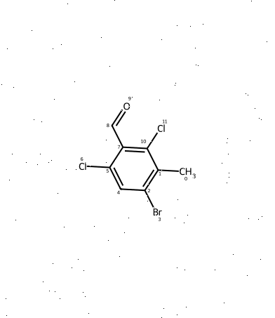 Cc1c(Br)cc(Cl)c(C=O)c1Cl